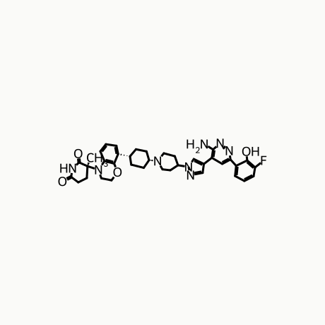 C[C@@]1(N2CCOc3c2cccc3[C@H]2CC[C@@H](N3CCC(n4cc(-c5cc(-c6cccc(F)c6O)nnc5N)cn4)CC3)CC2)CCC(=O)NC1=O